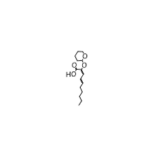 CCCCCC=CC=C(OC1CCCCO1)C(=O)O